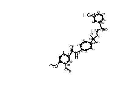 COc1ccc(C(=O)Nc2ccc(C(C)(C)CNC(=O)c3cccc(O)c3)cc2)cc1OC